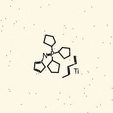 C1=CCC(N=P(C2CCCC2)(C2CCCC2)C2CCCC2)=C1.C=CC=CC.[Ti]